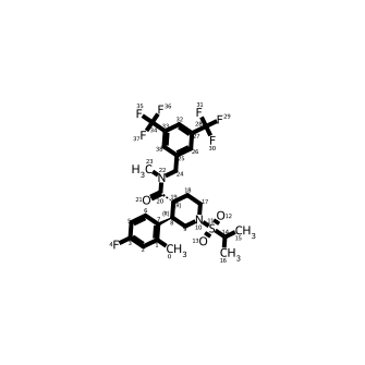 Cc1cc(F)ccc1[C@@H]1CN(S(=O)(=O)C(C)C)CC[C@H]1C(=O)N(C)Cc1cc(C(F)(F)F)cc(C(F)(F)F)c1